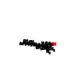 CC(=O)/C(C)=C/C=C/C(C)=C/C=C/C=C(C)/C=C/C=C(C)/C=C/C1=C(C)CC(O)CC1(C)C